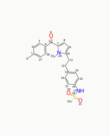 Cc1ccc(C(=O)c2ccc(CCc3ccc(NS(C)(=O)=O)cc3)n2C)cc1